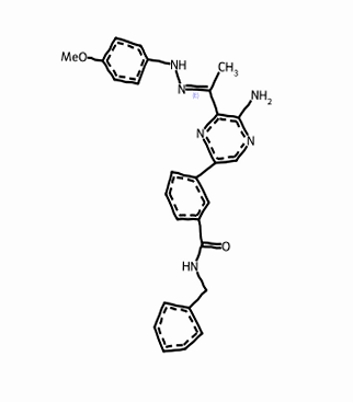 COc1ccc(N/N=C(\C)c2nc(-c3cccc(C(=O)NCc4ccccc4)c3)cnc2N)cc1